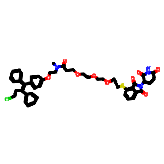 CN(CCOc1ccc(/C(=C(/CCCl)c2ccccc2)c2ccccc2)cc1)C(=O)CCOCCOCCOCCSc1cccc2c1C(=O)N(C1CCC(=O)NC1=O)C2=O